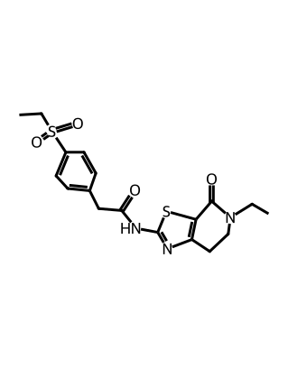 CCN1CCc2nc(NC(=O)Cc3ccc(S(=O)(=O)CC)cc3)sc2C1=O